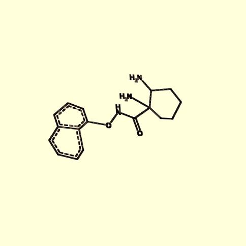 NC1CCCCC1(N)C(=O)NOc1cccc2ccccc12